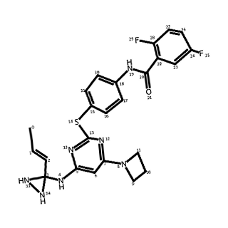 C/C=C/C1(Nc2cc(N3CCC3)nc(Sc3ccc(NC(=O)c4cc(F)ccc4F)cc3)n2)NN1